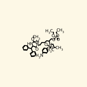 CCOP(=O)(OCC)OCC(CCCCNC(=O)[C@@H](NC(=O)OC)C(c1ccccc1)c1ccccc1)N(CC(C)C)S(=O)(=O)c1ccc(N)cc1